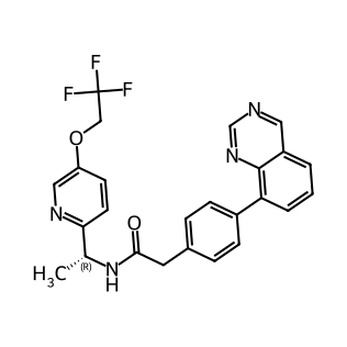 C[C@@H](NC(=O)Cc1ccc(-c2cccc3cncnc23)cc1)c1ccc(OCC(F)(F)F)cn1